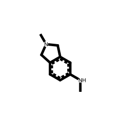 CNc1ccc2c(c1)CN(C)C2